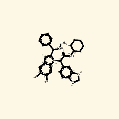 COC(c1ccccc1)c1nc2cc(F)c(F)cc2n1C(C(=O)NC1CCCCC1)c1ccc2c(c1)OCO2